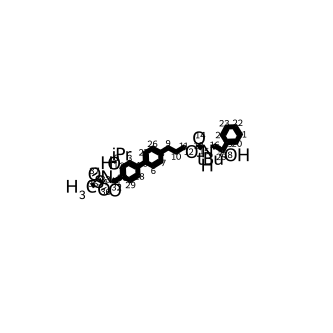 CC(C)Oc1cc(-c2ccc(CCCOC(=O)NC[C@](O)(c3ccccc3)C(C)(C)C)cc2)ccc1C(=O)NS(C)(=O)=O